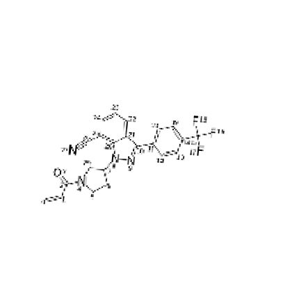 C=CC(=O)N1CCC(n2nc(-c3ccc(C(F)(F)F)cc3)c3cccc(C#N)c32)C1